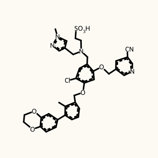 Cc1c(COc2cc(OCc3cncc(C#N)c3)c(CN(CCS(=O)(=O)O)Cc3cnn(C)c3)cc2Cl)cccc1-c1ccc2c(c1)OCCO2